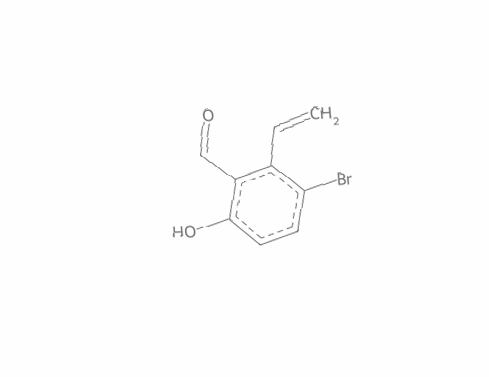 C=Cc1c(Br)ccc(O)c1C=O